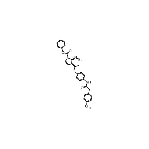 CC/N=C1\C(=C(/C)Oc2ccc(NC(=O)Cc3ccc(C(F)(F)F)cc3)cc2)C=CN1C(=O)Oc1ccccc1